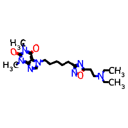 CCN(CC)CCc1nc(CCCCCn2cnc3c2c(=O)n(C)c(=O)n3C)no1